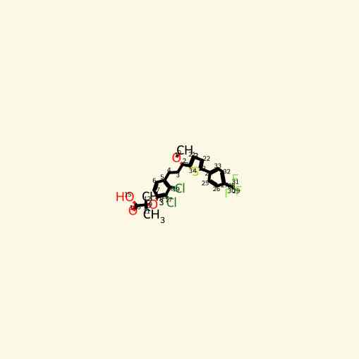 COC(CCc1ccc(OC(C)(C)C(=O)O)c(Cl)c1Cl)c1ccc(-c2ccc(C(F)(F)F)cc2)s1